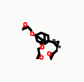 C1OC1COC12CC3CC(OCC4CO4)(C1)CC([C@H]1C[C@H]1CC1CO1)(C3)C2